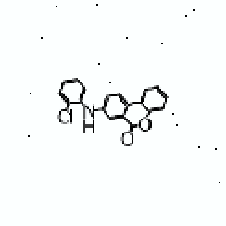 O=c1oc2ccccc2c2ccc(Nc3ccccc3Cl)cc12